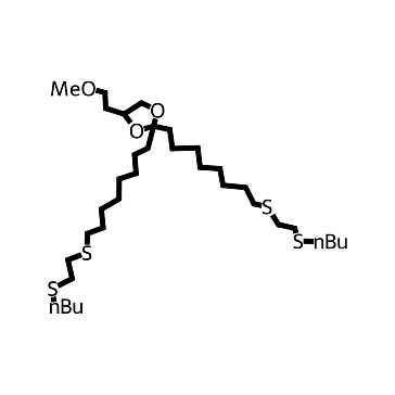 CCCCSCCSCCCCCCCCC1(CCCCCCCCSCCSCCCC)OCC(CCOC)O1